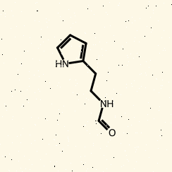 O=[C]NCCc1ccc[nH]1